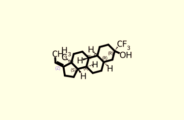 C/C=C1/CC[C@H]2[C@@H]3CC[C@@H]4C[C@@](O)(C(F)(F)F)CC[C@@H]4[C@H]3CC[C@]12C